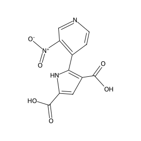 O=C(O)c1cc(C(=O)O)c(-c2ccncc2[N+](=O)[O-])[nH]1